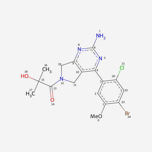 COc1cc(-c2nc(N)nc3c2CN(C(=O)C(C)(C)O)C3)c(Cl)cc1Br